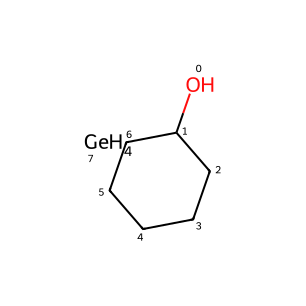 OC1CCCCC1.[GeH4]